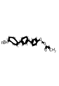 C=CC(=O)OCOc1ccc(-c2ccc(C3CCC(CCCC)CC3)cc2)cc1